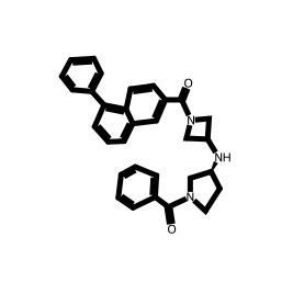 O=C(c1ccc2c(-c3ccccc3)cccc2c1)N1CC(N[C@H]2CCN(C(=O)c3ccccc3)C2)C1